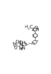 Cc1cc(-c2ccc(C34CC3CN(CCCSc3nnc(-c5ocnc5C)n3C)C4)cc2)no1